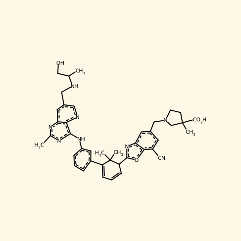 Cc1nc(Nc2cccc(C3=CC=CC(c4nc5cc(CN6CCC(C)(C(=O)O)C6)cc(C#N)c5o4)C3(C)C)c2)c2ncc(CNC(C)CO)cc2n1